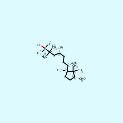 CC(C)[C@H](CC[C@H](C)[C@@]1(C)CC[C@@H](C=O)C1(C)C)CC(C)(C)[Si](C)(C)O